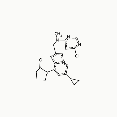 CN(Cc1cn2cc(C3CC3)cc(N3CCCC3=O)c2n1)c1cc(Cl)ncn1